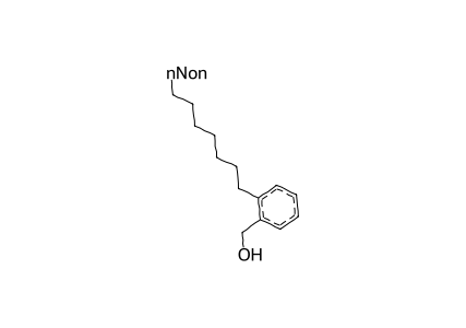 CCCCCCCCCCCCCCCCc1ccccc1CO